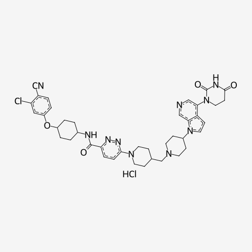 Cl.N#Cc1ccc(OC2CCC(NC(=O)c3ccc(N4CCC(CN5CCC(n6ccc7c(N8CCC(=O)NC8=O)cncc76)CC5)CC4)nn3)CC2)cc1Cl